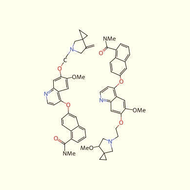 C=C1CN(CCOc2cc3nccc(Oc4ccc5c(C(=O)NC)cccc5c4)c3cc2OC)CC12CC2.CNC(=O)c1cccc2cc(Oc3ccnc4cc(OCCN5CC(OC)C6(CC6)C5)c(OC)cc34)ccc12